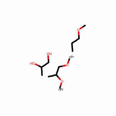 CC(O)CO.CCCOC.CCCOCC(C)OCCC